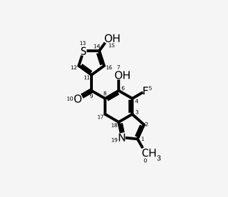 CC1=[C]C2=C(F)C(O)=C(C(=O)c3csc(O)c3)CC2=N1